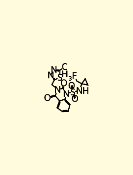 Cc1nnc(Cn2c(=O)c3ccccc3n(S(=O)(=O)NC3(CF)CC3)c2=O)s1